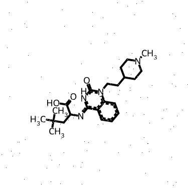 CN1CCC(CCn2c(=O)[nH]/c(=N\C(CC(C)(C)C)C(=O)O)c3ccccc32)CC1